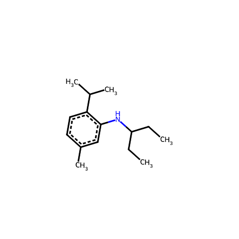 CCC(CC)Nc1cc(C)ccc1C(C)C